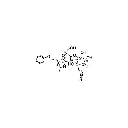 CC(=O)N[C@H]1[C@H](OCCOc2ccccc2)O[C@H](CO)C(O[C@@H]2O[C@H](CN=[N+]=[N-])[C@H](O)[C@H](O)[C@H]2O)[C@@H]1O